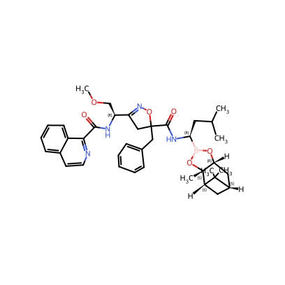 COC[C@H](NC(=O)c1nccc2ccccc12)C1=NOC(Cc2ccccc2)(C(=O)N[C@@H](CC(C)C)B2O[C@@H]3C[C@@H]4C[C@@H](C4(C)C)[C@]3(C)O2)C1